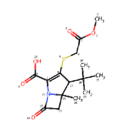 COC(=O)CSC1=C(C(=O)O)N2C(=O)CC2(C)C1C(C)(C)C